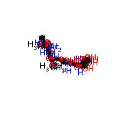 CC(=O)NC(C)C(=O)NC(Cc1ccccc1)C(=O)NC(CCCCNC(=O)CNC(=O)C(CCCC[N+](C)(C)C)NC(=O)CCCCOc1ccc(/C=N/NC(=O)CCCCC(=O)NNC2O[C@@H](CO)[C@H](O[C@H]3O[C@@H](CO)[C@@H](O)[C@@H](O)[C@@H]3O)[C@@H](O)[C@@H]2O)c(O)c1)C(N)=O